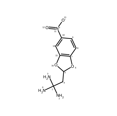 NC(N)(N)CC1Oc2ccc([N+](=O)[O-])cc2O1